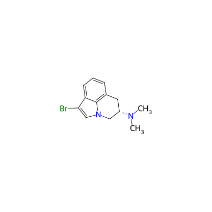 CN(C)[C@H]1Cc2cccc3c(Br)cn(c23)C1